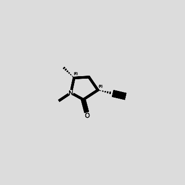 C#C[C@H]1C[C@@H](C)N(C)C1=O